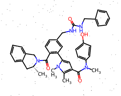 Cc1c(C(=O)N(C)c2ccc(O)cc2)cc(-c2cc(CNC(=O)NCc3ccccc3)ccc2C(=O)N2Cc3ccccc3C[C@H]2C)n1C